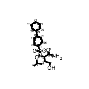 CC(C)ON(C(CCO)C(N)=O)S(=O)(=O)c1ccc(-c2ccccc2)cc1